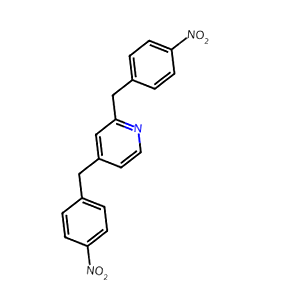 O=[N+]([O-])c1ccc(Cc2ccnc(Cc3ccc([N+](=O)[O-])cc3)c2)cc1